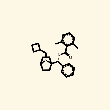 Cc1cccc(C)c1C(=O)N[C@H](c1ccccc1)C12CCC(CC1)N2CC1CCC1